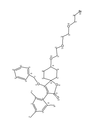 Cc1cc(C)c(C2=C(OCc3ccccc3)C3(CCC(OCCOCCOCCBr)CC3)OC2=O)c(C)c1